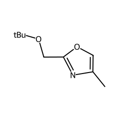 Cc1coc(COC(C)(C)C)n1